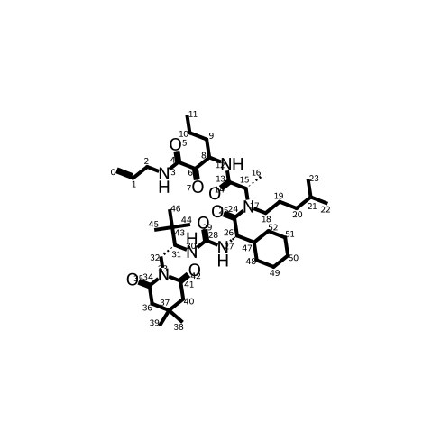 C=CCNC(=O)C(=O)C(CCC)NC(=O)[C@H](C)N(CCCC(C)C)C(=O)[C@@H](NC(=O)N[C@H](CN1C(=O)CC(C)(C)CC1=O)C(C)(C)C)C1CCCCC1